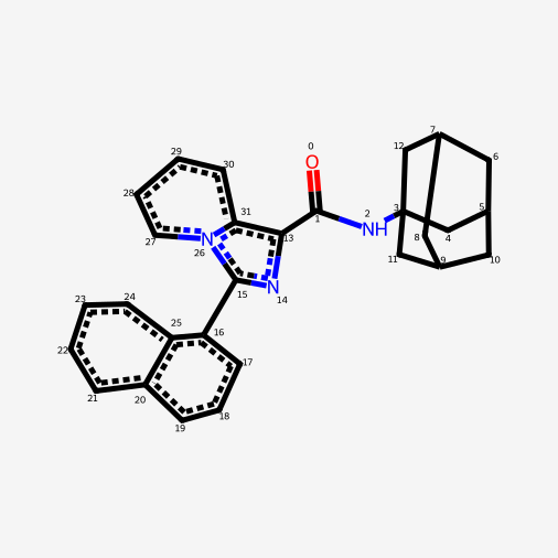 O=C(NC12CC3CC(CC(C3)C1)C2)c1nc(-c2cccc3ccccc23)n2ccccc12